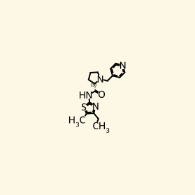 CCc1nc(NC(=O)[C@@H]2CCCN2Cc2ccncc2)sc1C